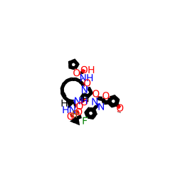 COc1ccc2oc3c(O[C@@H]4C[C@H]5C(=O)N[C@]6(C(=O)NS(=O)(=O)C7(C)CC7)C[C@H]6/C=C\CCCCC[C@H](NC(O)OC6CCCC6)C(=O)N5C4)nc(-c4ccc(F)cc4)nc3c2c1